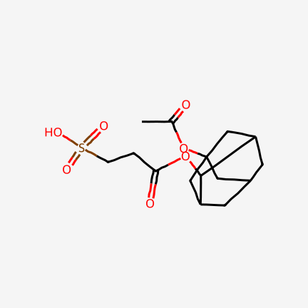 CC(=O)OC12CC3CC(C1)C(OC(=O)CCS(=O)(=O)O)C(C3)C2